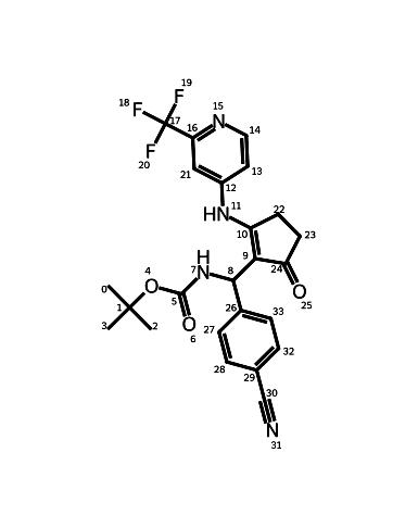 CC(C)(C)OC(=O)NC(C1=C(Nc2ccnc(C(F)(F)F)c2)CCC1=O)c1ccc(C#N)cc1